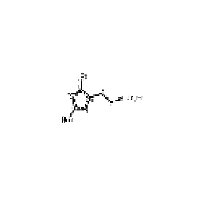 CCc1sc(C(C)(C)C)cc1CCC(=O)O